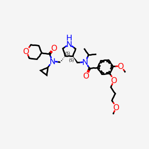 COCCCOc1cc(C(=O)N(C[C@@H]2CNC[C@H]2CN(C(=O)C2CCOCC2)C2CC2)C(C)C)ccc1OC